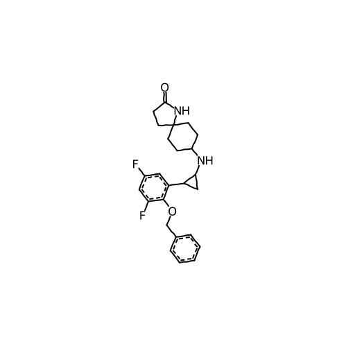 O=C1CCC2(CCC(NC3CC3c3cc(F)cc(F)c3OCc3ccccc3)CC2)N1